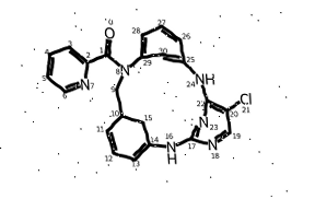 O=C(c1ccccn1)N1CC2C=CC=C(C2)Nc2ncc(Cl)c(n2)Nc2cccc1c2